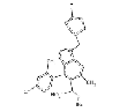 Cc1cc(Cl)ccc1-c1c(C(OC(C)(C)C)C(=O)O)c(C)nc2c1ccn2Cc1ccc(F)cc1